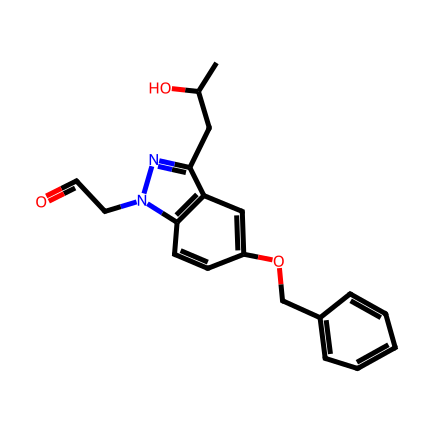 CC(O)Cc1nn(CC=O)c2ccc(OCc3ccccc3)cc12